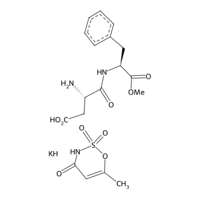 CC1=CC(=O)NS(=O)(=O)O1.COC(=O)[C@H](Cc1ccccc1)NC(=O)[C@@H](N)CC(=O)O.[KH]